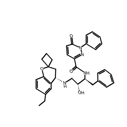 CCc1ccc2c(c1)[C@@H](NC[C@@H](O)[C@H](Cc1ccccc1)NC(=O)c1ccc(=O)n(-c3ccccc3)n1)CC1(CCC1)O2